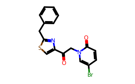 O=C(Cn1cc(Br)ccc1=O)c1csc(Cc2ccccc2)n1